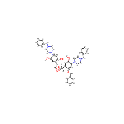 COc1cc(C(C=O)CC(C)(O)c2cc(OC)c(N3CCN(Cc4ccccc4)CC3)cc2OCc2ccccc2)c(O)cc1N1CCN(Cc2ccccc2)CC1